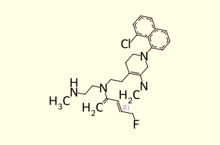 C=NC1=C(CCN(CCNC)C(=C)/C=C/CF)CCN(c2cccc3cccc(Cl)c23)C1